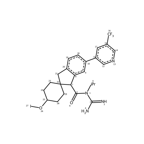 CC(C)N(C(=N)N)C(=O)C1c2cc(-c3cncc(C(F)(F)F)c3)ccc2CC12CCC(OI)CC2